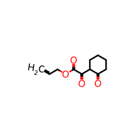 C=CCOC(=O)C(=O)C1CCCCC1=O